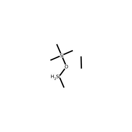 CC.C[SiH2]O[Si](C)(C)C